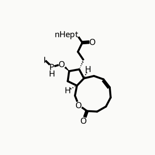 CCCCCCCC(=O)CC[C@@H]1[C@H]2C/C=C\CCCC(=O)OC[C@H]2C[C@H]1OPI